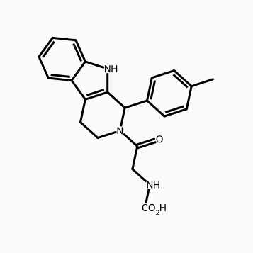 Cc1ccc(C2c3[nH]c4ccccc4c3CCN2C(=O)CNC(=O)O)cc1